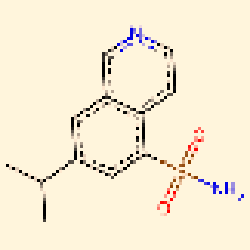 CC(C)c1cc(S(N)(=O)=O)c2ccncc2c1